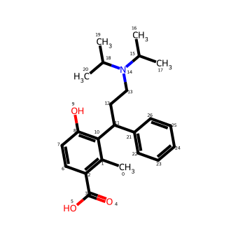 Cc1c(C(=O)O)ccc(O)c1C(CCN(C(C)C)C(C)C)c1ccccc1